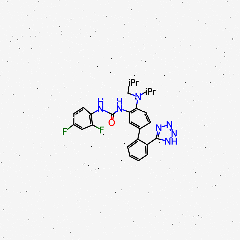 CC(C)CN(c1ccc(-c2ccccc2-c2nnn[nH]2)cc1NC(=O)Nc1ccc(F)cc1F)C(C)C